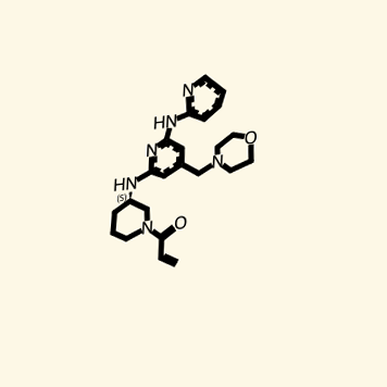 C=CC(=O)N1CCC[C@H](Nc2cc(CN3CCOCC3)cc(Nc3ccccn3)n2)C1